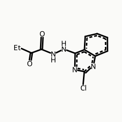 CCC(=O)C(=O)NNc1nc(Cl)nc2ccccc12